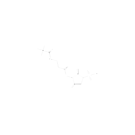 C=C1CC(S(=O)(=O)O)C(=O)N1OC(=O)CCNC(=O)C(F)(F)F